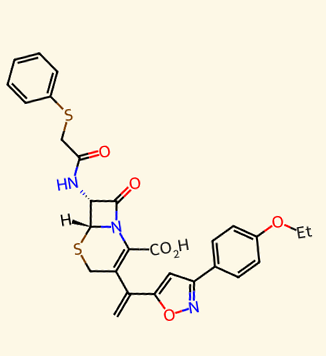 C=C(C1=C(C(=O)O)N2C(=O)[C@@H](NC(=O)CSc3ccccc3)[C@H]2SC1)c1cc(-c2ccc(OCC)cc2)no1